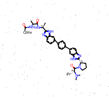 COC(=O)NC(C)C(=O)N[C@@H](C)c1nc2ccc(-c3ccc(-c4ccc5nc([C@@H]6CCCN6C(=O)[C@@H](C(C)C)N(C)C)[nH]c5c4)cc3)cc2[nH]1